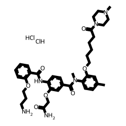 Cc1ccc(N(C)C(=O)c2ccc(NC(=O)c3ccccc3OCCCN)c(OCC(N)=O)c2)c(OCCCCCC(=O)N2CCN(C)CC2)c1.Cl.Cl